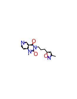 Cc1cc(CCCn2c(=O)c3cnccc3n(C)c2=O)on1